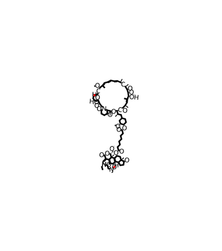 CCN(/C=C1/C(=O)O[C@H](COC)[C@@]2(C)C1=C(O)C(=O)C1=C2[C@H](OC(=O)CCCCCCC(=O)O[C@@H]2CCC(C[C@@H](C)[C@@H]3CC(=O)[C@H](C)/C=C(\C)[C@@H](O)[C@@H](OC)C(=O)[C@H](C)C[C@H](C)/C=C/C=C/C=C(\C)[C@@H](OC)C[C@@H]4CC[C@@H](C)[C@@](O)(O4)C(=O)C(=O)N4CCCC[C@H]4C(=O)O3)C[C@H]2OC)C[C@]2(C)C(=O)CC[C@@H]12)CCN(C)C